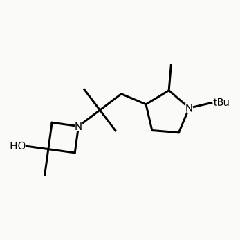 CC1C(CC(C)(C)N2CC(C)(O)C2)CCN1C(C)(C)C